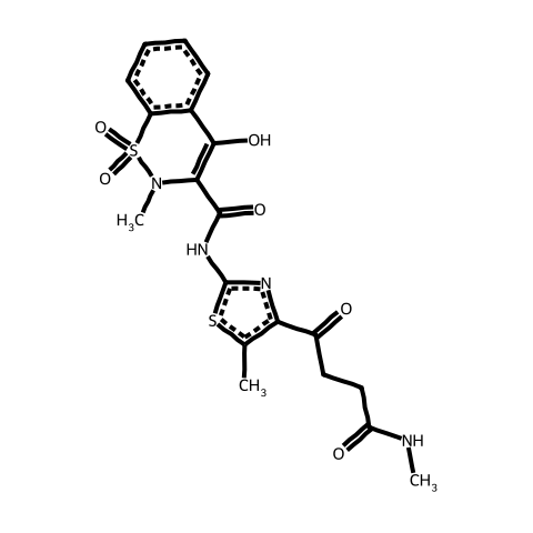 CNC(=O)CCC(=O)c1nc(NC(=O)C2=C(O)c3ccccc3S(=O)(=O)N2C)sc1C